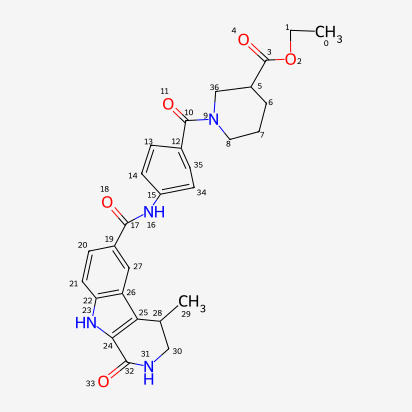 CCOC(=O)C1CCCN(C(=O)c2ccc(NC(=O)c3ccc4[nH]c5c(c4c3)C(C)CNC5=O)cc2)C1